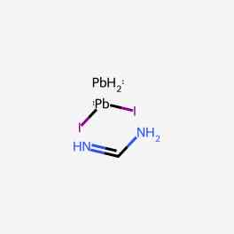 N=CN.[I][Pb][I].[PbH2]